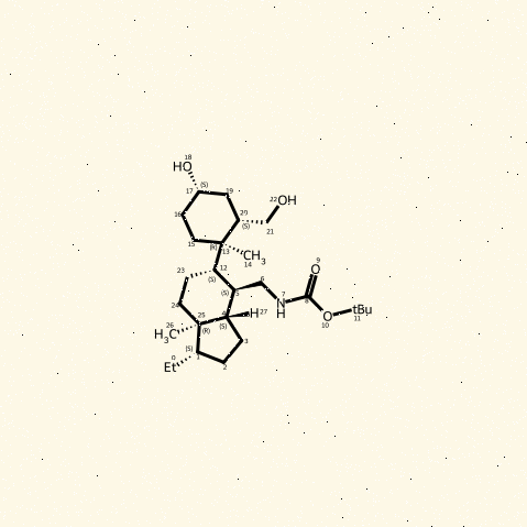 CC[C@H]1CC[C@H]2[C@H](CNC(=O)OC(C)(C)C)[C@@H]([C@@]3(C)CC[C@H](O)C[C@@H]3CO)CC[C@]12C